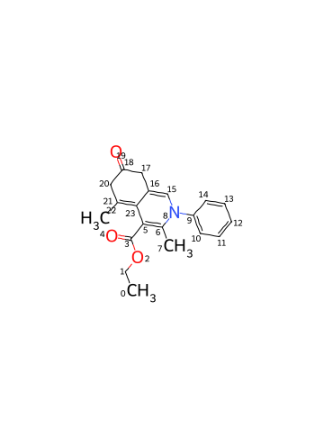 CCOC(=O)C1=C(C)N(c2ccccc2)C=C2CC(=O)CC(C)=C21